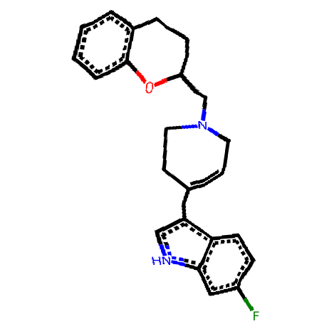 Fc1ccc2c(C3=CCN(CC4CCc5ccccc5O4)CC3)c[nH]c2c1